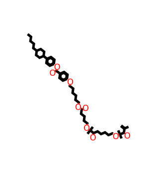 C=C(C)C(=O)C(C)(C)OCCCCCC(=O)C(C)(C)OCCCCC(=O)OCCCCCCOc1ccc(C(=O)Oc2ccc(C3CCC(CCCCC)CC3)cc2)cc1